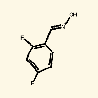 ON=Cc1ccc(F)[c]c1F